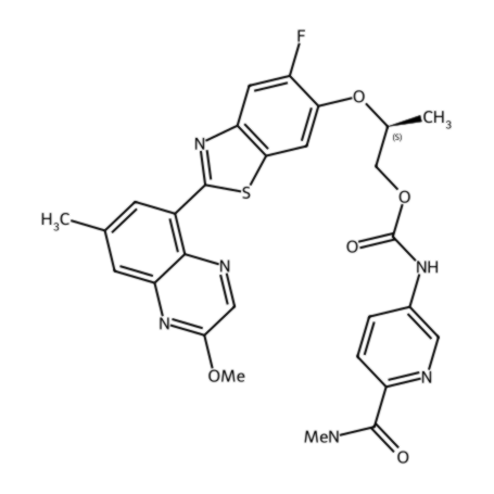 CNC(=O)c1ccc(NC(=O)OC[C@H](C)Oc2cc3sc(-c4cc(C)cc5nc(OC)cnc45)nc3cc2F)cn1